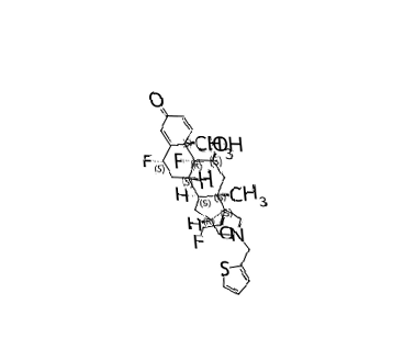 C[C@]12C=CC(=O)C=C1[C@@H](F)C[C@H]1[C@@H]3C[C@H]4CN(Cc5cccs5)C[C@@]4(C(=O)CF)[C@@]3(C)C[C@H](O)[C@@]12F